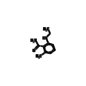 CCNc1cccc(C)c1C(N)=O